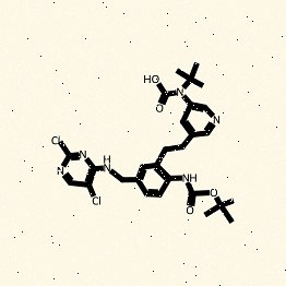 CC(C)(C)OC(=O)Nc1ccc(CNc2nc(Cl)ncc2Cl)cc1CCc1cncc(N(C(=O)O)C(C)(C)C)c1